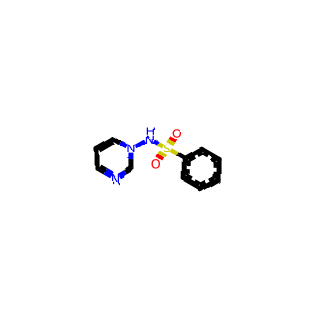 O=S(=O)(NN1C=CC=NC1)c1ccccc1